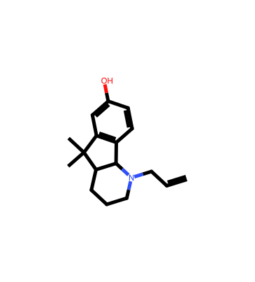 C=CCN1CCCC2C1c1ccc(O)cc1C2(C)C